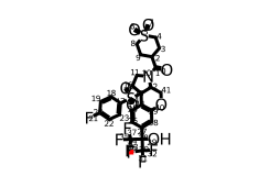 O=C(C1CCS(=O)(=O)CC1)N1CCC2(S(=O)(=O)c3ccc(F)cc3)c3ccc(C(O)(C(F)(F)F)C(F)(F)F)cc3OCC12